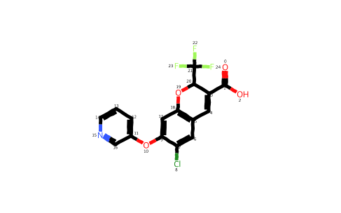 O=C(O)C1=Cc2cc(Cl)c(Oc3cccnc3)cc2OC1C(F)(F)F